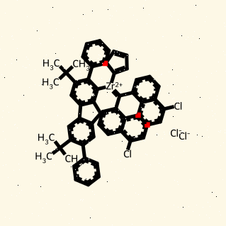 CC(C)(C)c1cc2c(cc1-c1ccccc1)Cc1c-2cc(C(C)(C)C)c(-c2ccccc2)[c]1[Zr+2]([C]1=CC=CC1)=[C](c1cccc2c(Cl)cccc12)c1cccc2c(Cl)cccc12.[Cl-].[Cl-]